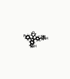 Fc1ccc(-n2c(C3CCOCC3)c(-c3ccc(-c4nn[nH]n4)cc3)c3cc4[nH]ncc4cc32)cc1